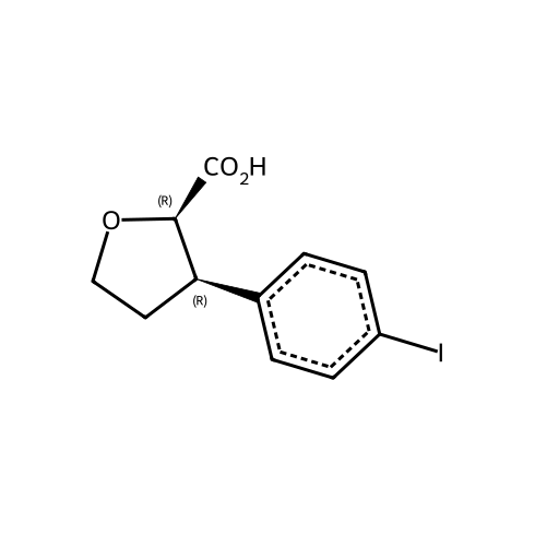 O=C(O)[C@@H]1OCC[C@@H]1c1ccc(I)cc1